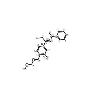 CC/C(=N\[C@@H](C)c1ccccc1)c1ccc(COCOC)c(F)c1